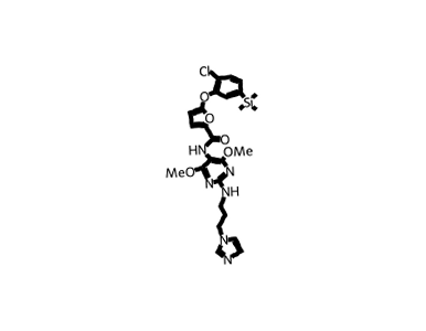 COc1nc(NCCCn2ccnc2)nc(OC)c1NC(=O)c1ccc(Oc2cc([Si](C)(C)C)ccc2Cl)o1